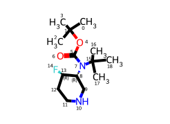 CC(C)(C)OC(=O)N([C@@H]1CNCC[C@H]1F)C(C)(C)C